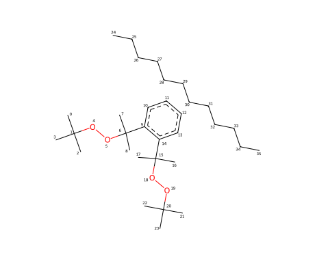 CC(C)(C)OOC(C)(C)c1ccccc1C(C)(C)OOC(C)(C)C.CCCCCCCCCCCC